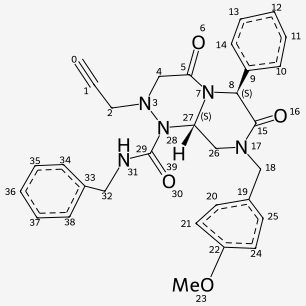 C#CCN1CC(=O)N2[C@@H](c3ccccc3)C(=O)N(Cc3ccc(OC)cc3)C[C@@H]2N1C(=O)NCc1ccccc1